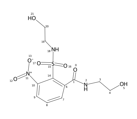 O=C(NCCO)c1cccc([N+](=O)[O-])c1S(=O)(=O)NCCO